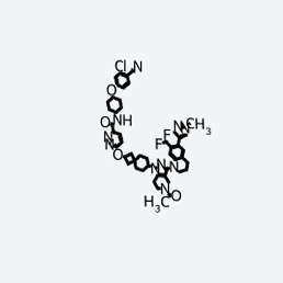 CC(=O)N1CCc2c(c(N3CCCc4cc(-c5cnn(C)c5)c(C(F)F)cc43)nn2C2CCC3(CC2)CC(Oc2ccc(C(=O)NC4CCC(Oc5ccc(C#N)c(Cl)c5)CC4)nn2)C3)C1